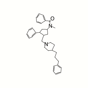 CN(C(=O)c1ccccc1)C1CC(CN2CCC(CCCc3ccccc3)CC2)C(c2ccccc2)C1